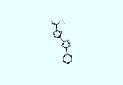 O=C(c1ccc(-c2ncc(-c3ccccc3)s2)s1)C(F)(F)F